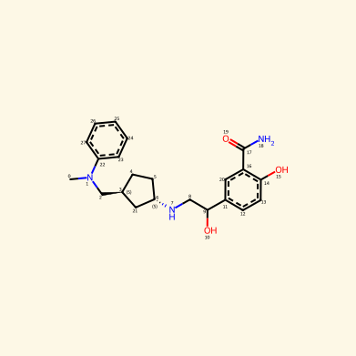 CN(C[C@H]1CC[C@H](NCC(O)c2ccc(O)c(C(N)=O)c2)C1)c1ccccc1